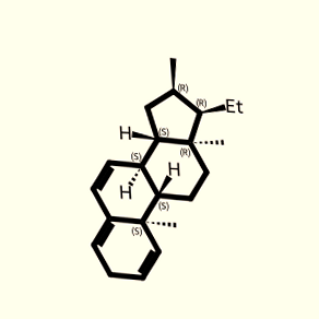 CC[C@@H]1[C@H](C)C[C@H]2[C@@H]3C=CC4=CCC=C[C@]4(C)[C@H]3CC[C@]12C